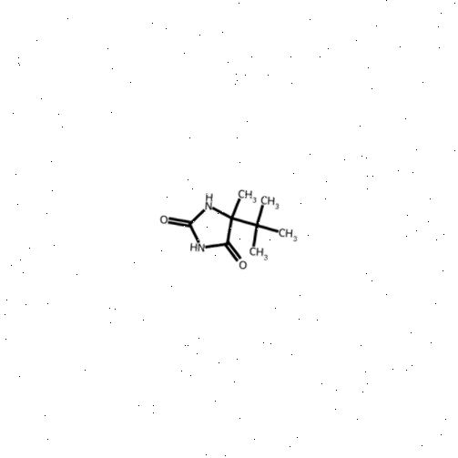 CC(C)(C)C1(C)NC(=O)NC1=O